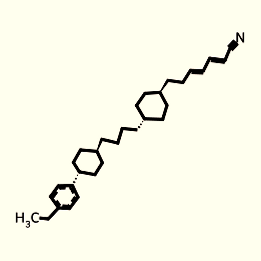 CCc1ccc([C@H]2CC[C@H](CCCC[C@H]3CC[C@H](CCC=CC=CC#N)CC3)CC2)cc1